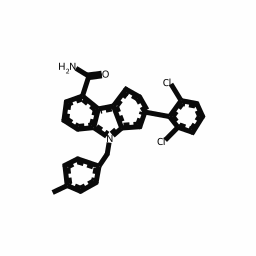 Cc1ccc(Cn2c3cc(-c4c(Cl)cccc4Cl)c[c]c3c3c(C(N)=O)cccc32)cc1